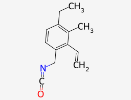 C=Cc1c(CN=C=O)ccc(CC)c1C